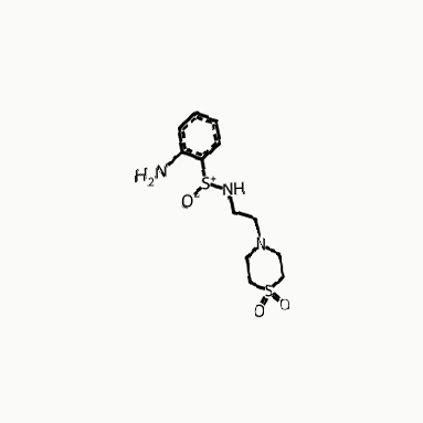 Nc1ccccc1[S+]([O-])NCCN1CCS(=O)(=O)CC1